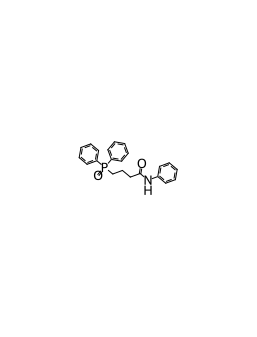 O=C(CCCP(=O)(c1ccccc1)c1ccccc1)Nc1ccccc1